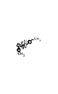 Cc1ccc(C2CCCN2c2ncnc(NCc3ccc(CCN)cc3)c2F)cc1